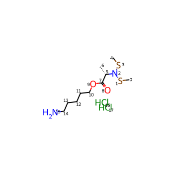 CSN(SC)[C@@H](C)C(=O)OCCCCCN.Cl.Cl